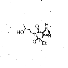 CCn1c(=O)n(CCC(C)O)c(=O)c2[nH]cnc21